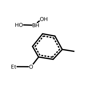 CCOc1cccc(C)c1.OBO